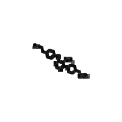 CC(=O)CCc1ccc(Oc2ncnc(N3CCC(COCC(C)C)CC3)c2[N+](=O)[O-])cc1